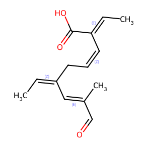 C/C=C(\C=C(/C)C=O)C/C=C\C(=C/C)C(=O)O